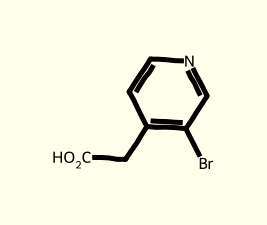 O=C(O)Cc1ccncc1Br